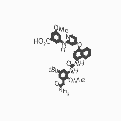 COc1cc(Nc2cc(Oc3ccc(NC(=O)Nc4cc(C(C)(C)C)cc(CC(N)=O)c4OC)c4ccccc34)ccn2)cc(C(=O)O)c1